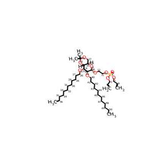 C=CCOP(=O)(OCC=C)OCCO[C@H]1O[C@@H]2COC(C)(C)O[C@H]2[C@H](OCCCCCCCCCCCC)[C@H]1OCCCCCCCCCCCC